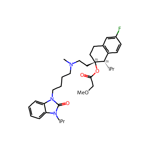 COCC(=O)O[C@]1(CCN(C)CCCCn2c(=O)n(C(C)C)c3ccccc32)CCc2cc(F)ccc2[C@@H]1C(C)C